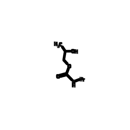 CC(O)COC(=O)NC(C)C